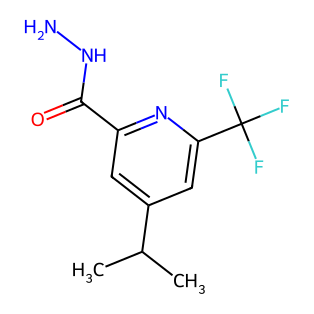 CC(C)c1cc(C(=O)NN)nc(C(F)(F)F)c1